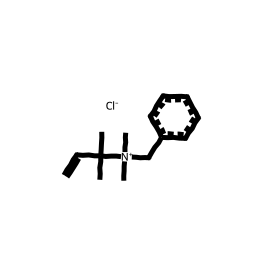 C=CC(C)(C)[N+](C)(C)Cc1ccccc1.[Cl-]